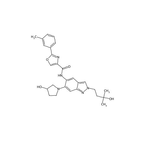 Cc1cccc(-c2nc(C(=O)Nc3cc4cn(CCC(C)(C)O)nc4cc3N3CCC(O)C3)co2)c1